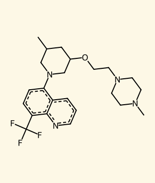 CC1CC(OCCN2CCN(C)CC2)CN(c2ccc(C(F)(F)F)c3ncccc23)C1